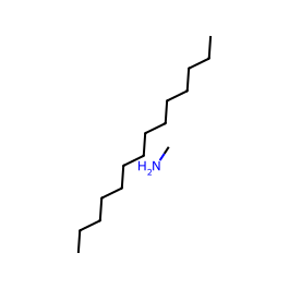 CCCCCCCCCCCCCC.CN